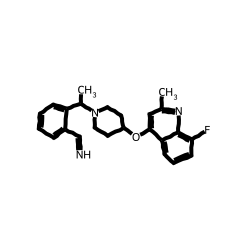 Cc1cc(OC2CCN(C(C)c3ccccc3C=N)CC2)c2cccc(F)c2n1